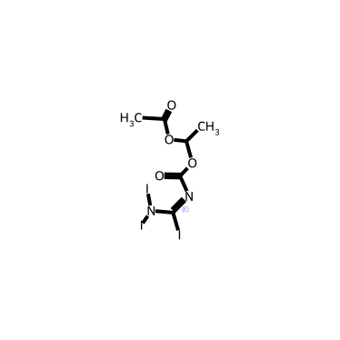 CC(=O)OC(C)OC(=O)/N=C(/I)N(I)I